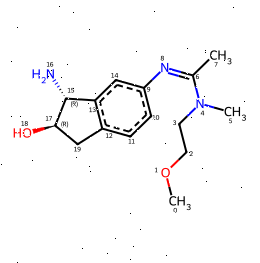 COCCN(C)C(C)=Nc1ccc2c(c1)[C@@H](N)[C@H](O)C2